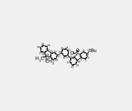 CC(C)(C)c1ccc2c(c1)S(=O)(=O)c1c(-c3cccc(-c4ccc5c(c4)-c4ccccc4C5(C)C)c3)cccc1-2